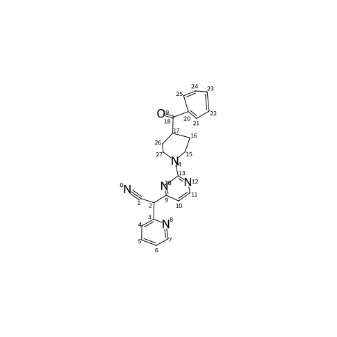 N#CC(c1ccccn1)c1ccnc(N2CCC(C(=O)c3ccccc3)CC2)n1